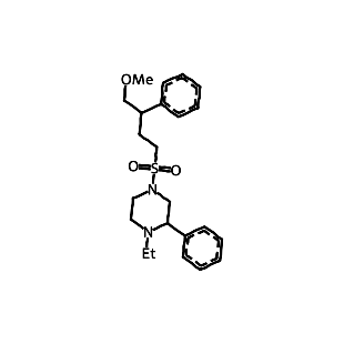 CCN1CCN(S(=O)(=O)CCC(COC)c2ccccc2)CC1c1ccccc1